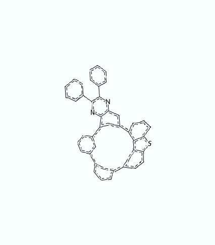 c1ccc(-c2nc3cc4cc(c5cccc(c5)c5cccc(c5)c5ccc6sc7cccc4c7c6c5)c3nc2-c2ccccc2)cc1